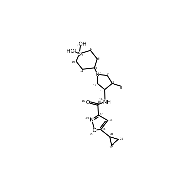 CC1CN(C2CCS(O)(O)CC2)CC1NC(=O)c1cc(C2CC2)on1